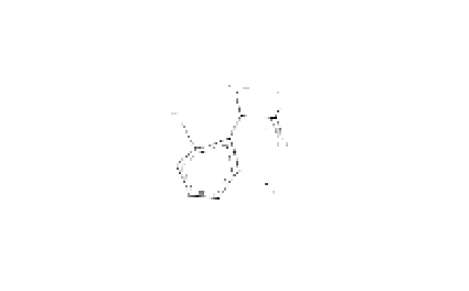 NC(C(=O)[O-])c1ccccc1F.[Na+]